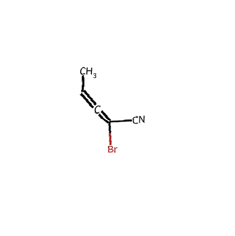 CC=C=C(Br)C#N